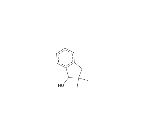 CC1(C)Cc2ccccc2C1O